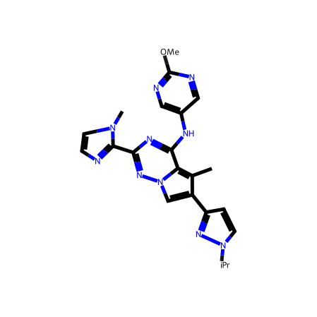 COc1ncc(Nc2nc(-c3nccn3C)nn3cc(-c4ccn(C(C)C)n4)c(C)c23)cn1